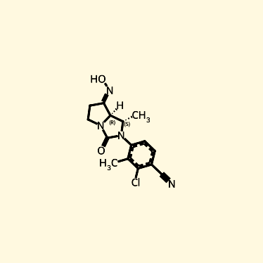 Cc1c(N2C(=O)N3CCC(=NO)[C@H]3[C@@H]2C)ccc(C#N)c1Cl